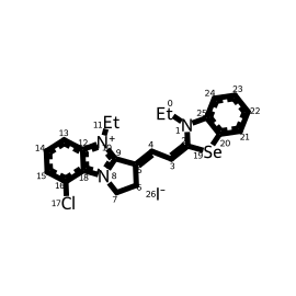 CCN1C(=CC=C2CCn3c2[n+](CC)c2cccc(Cl)c23)[Se]c2ccccc21.[I-]